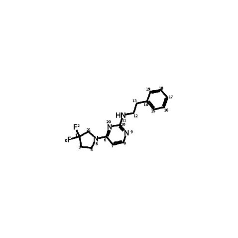 FC1(F)CCN(c2ccnc(NCCc3ccccc3)n2)C1